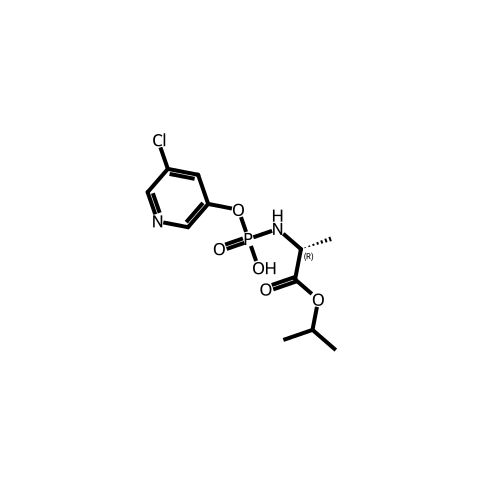 CC(C)OC(=O)[C@@H](C)NP(=O)(O)Oc1cncc(Cl)c1